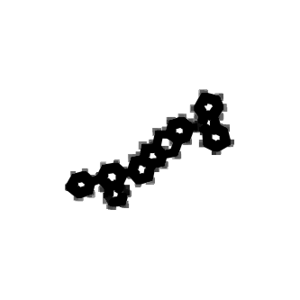 c1ccc(-c2ccc(-c3ccc4cc5c(cc4c3)Cc3ccc(-n4c6ccccc6c6ccccc64)cc3C5)c3nccnc23)cc1